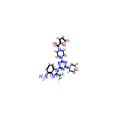 Nc1cccc2c1nc(C(F)F)n2-c1nc(N2CCOCC2)nc(N2CCN(C(=O)c3ccco3)CC2)n1